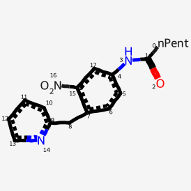 CCCCCC(=O)Nc1ccc(Cc2ccccn2)c([N+](=O)[O-])c1